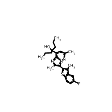 CCCC(O)(CCC)c1cc(C)nn2c(-c3sc4ccc(F)cc4c3C)c(C)nc12